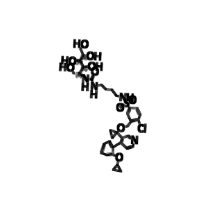 O=C(NCCCCNS(=O)(=O)c1ccc(Cl)c(COC2(c3cnccc3-c3ccccc3OC3CC3)CC2)c1)N[C@H](CO)[C@H](O)[C@@H](O)[C@@H](O)CO